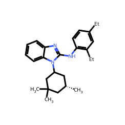 CCc1ccc(Nc2nc3ccccc3n2C2C[C@H](C)CC(C)(C)C2)c(CC)c1